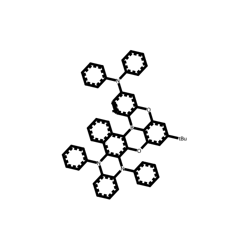 CC(C)(C)c1cc2c3c(c1)Oc1c4c(c5ccccc5c1B3c1c(cc(N(c3ccccc3)c3ccccc3)c3ccccc13)O2)N(c1ccccc1)c1ccccc1N4c1ccccc1